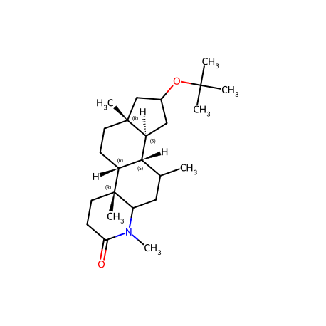 CC1CC2N(C)C(=O)CC[C@]2(C)[C@@H]2CC[C@]3(C)CC(OC(C)(C)C)C[C@H]3[C@H]12